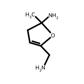 CC1(N)CC=C(CN)O1